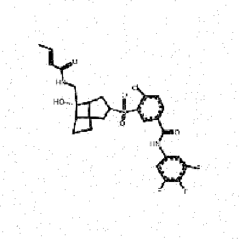 C/C=C/C(=O)NC[C@]1(O)C2CCC23C[C@H](S(=O)(=O)c2cc(C(=O)Nc4cc(F)c(F)c(F)c4)ccc2Cl)CC31